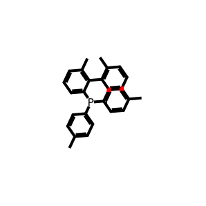 Cc1ccc(P(c2ccc(C)cc2)c2cccc(C)c2-c2c(C)cccc2I)cc1